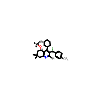 CC(C)c1nc2c(c(C3CCCCC3)c1[C@@H](F)c1ccc(C(F)(F)F)cc1)[C@@H](O[Si](C)(C)C(C)(C)C)CC(C)(C)C2